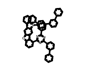 c1ccc(-c2cccc(-c3ccc(-n4c5ccccc5c5cc6oc7cccc(-c8nc(-c9cccc(-c%10ccccc%10)c9)nc(-c9cccc(-c%10ccccc%10)c9)n8)c7c6cc54)cc3)c2)cc1